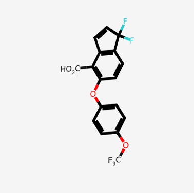 O=C(O)c1c(Oc2ccc(OC(F)(F)F)cc2)ccc2c1C=CC2(F)F